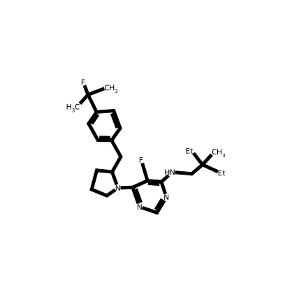 CCC(C)(CC)CNc1ncnc(N2CCCC2Cc2ccc(C(C)(C)F)cc2)c1F